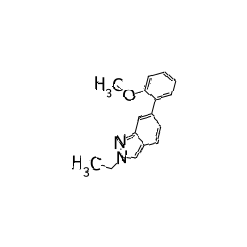 CCn1cc2ccc(-c3ccccc3OC)cc2n1